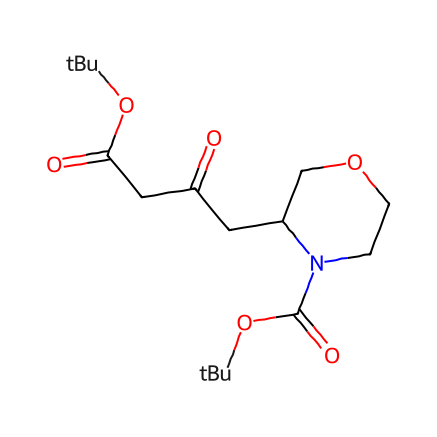 CC(C)(C)OC(=O)CC(=O)CC1COCCN1C(=O)OC(C)(C)C